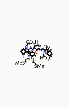 CSCCCNc1ccc(OC2=C(/C=C/C3=[N+](CCC(=O)O)c4ccccc4C3(C)C)CCC/C2=C\C=C2\N(CCC(=O)O)c3ccccc3C2(C)C)cc1SCCCSC